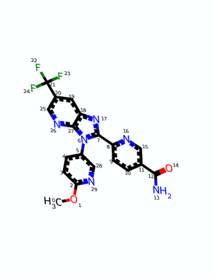 COc1ccc(-n2c(-c3ccc(C(N)=O)cn3)nc3cc(C(F)(F)F)cnc32)cn1